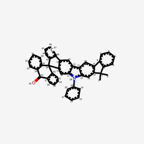 CC1(C)c2ccccc2-c2cc3c4cc5c(cc4n(-c4ccccc4)c3cc21)C1(c2ccccc2C(=O)c2ccccc21)c1ccccc1-5